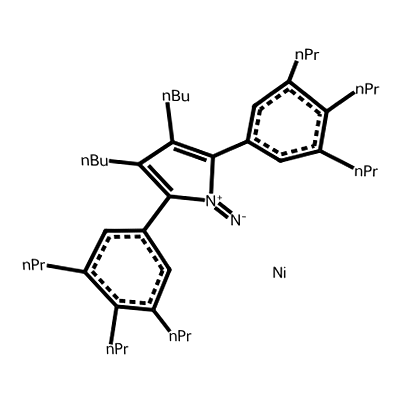 CCCCC1=C(c2cc(CCC)c(CCC)c(CCC)c2)[N+](=[N-])C(c2cc(CCC)c(CCC)c(CCC)c2)=C1CCCC.[Ni]